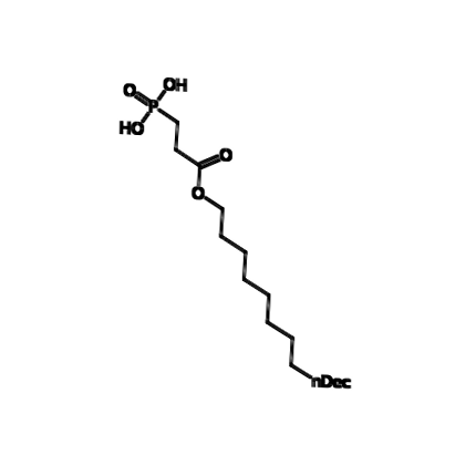 CCCCCCCCCCCCCCCCCCOC(=O)CCP(=O)(O)O